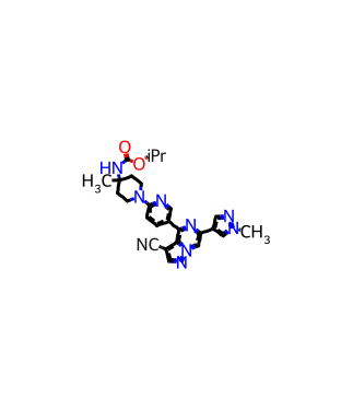 CC(C)OC(=O)NC1(C)CCN(c2ccc(-c3nc(-c4cnn(C)c4)cn4ncc(C#N)c34)cn2)CC1